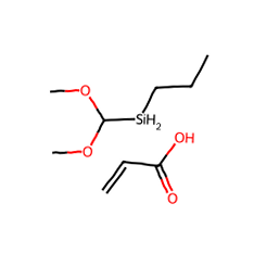 C=CC(=O)O.CCC[SiH2]C(OC)OC